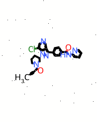 CC#CC(=O)N1CCC[C@@H](n2nc(-c3ccc(C(=O)Nc4ccccn4)cc3)c3cncc(Cl)c32)C1